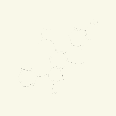 CCCCCC(C)Oc1cc2c(nc(CCCC)n2-c2ccccc2)c(OC)c1-c1ccc(OC)cc1